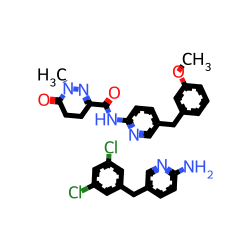 COc1cccc(Cc2ccc(NC(=O)C3=NN(C)C(=O)CC3)nc2)c1.Nc1ccc(Cc2cc(Cl)cc(Cl)c2)cn1